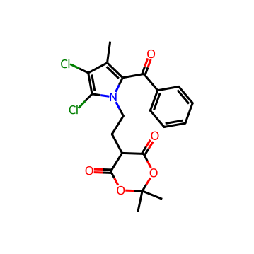 Cc1c(Cl)c(Cl)n(CCC2C(=O)OC(C)(C)OC2=O)c1C(=O)c1ccccc1